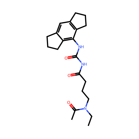 CCN(CCCC(=O)NC(=O)Nc1c2c(cc3c1CCC3)CCC2)C(C)=O